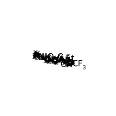 CCc1cc(C(F)(F)F)cc(C)c1C(=O)NC(Cc1ccc(N2CCC(CNc3ccccn3)CC2)cc1)C(=O)O